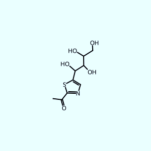 CC(=O)c1ncc(C(O)C(O)C(O)CO)s1